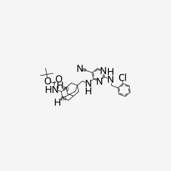 CC(C)(C)OC(=O)NC1[C@@H]2CC3C[C@H]1CC(CNc1nc(NCc4ccccc4Cl)ncc1C#N)(C3)C2